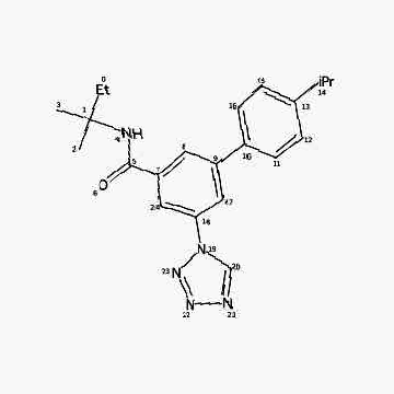 CCC(C)(C)NC(=O)c1cc(-c2ccc(C(C)C)cc2)cc(-n2cnnn2)c1